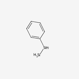 [SiH3][SiH]c1ccccc1